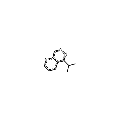 CC(C)c1nncc2ncccc12